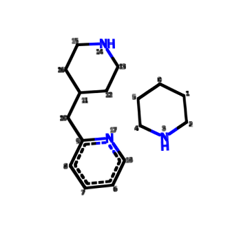 C1CCNCC1.c1ccc(CC2CCNCC2)nc1